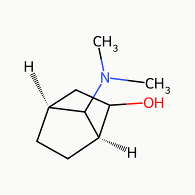 CN(C)C1[C@H]2CC[C@@H]1C(O)C2